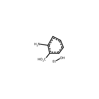 CCO.Nc1ccccc1C(=O)O